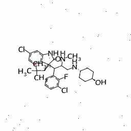 CNC(CN[C@H]1CC[C@H](O)CC1)C(c1cccc(Cl)c1F)[C@@]1(CC(C)(C)C)C(=O)Nc2cc(Cl)ccc21